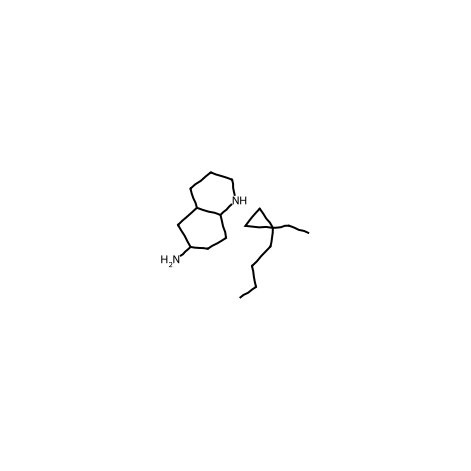 CCCCC1(CC)CC1.NC1CCC2NCCCC2C1